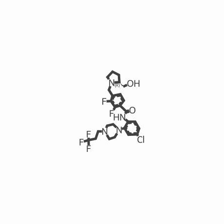 O=C(Nc1ccc(Cl)cc1N1CCN(CCC(F)(F)F)CC1)c1ccc(CN2CCC[C@@H]2CO)c(F)c1F